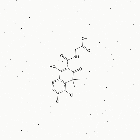 CC1(C)C(=O)C(C(=O)NCC(=O)O)=C(O)c2ccc(Cl)c(Cl)c21